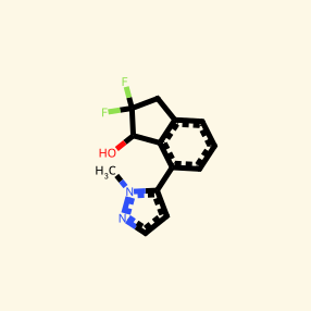 Cn1nccc1-c1cccc2c1C(O)C(F)(F)C2